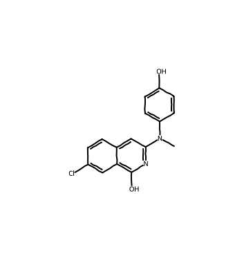 CN(c1ccc(O)cc1)c1cc2ccc(Cl)cc2c(O)n1